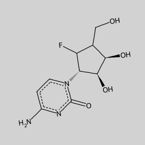 Nc1ccn([C@@H]2C(F)C(CO)[C@@H](O)[C@H]2O)c(=O)n1